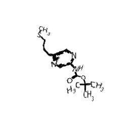 CSCCc1cnc(NC(=O)OC(C)(C)C)cn1